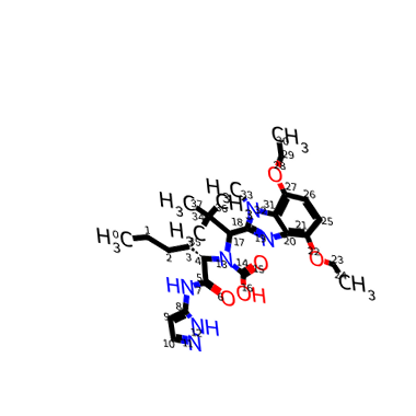 CCCC[C@@H](C(=O)Nc1ccn[nH]1)N(C(=O)O)C(c1nc2c(OCC)ccc(OCC)c2n1C)C(C)(C)C